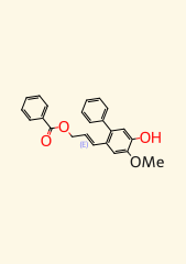 COc1cc(/C=C/COC(=O)c2ccccc2)c(-c2ccccc2)cc1O